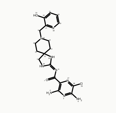 Nc1nc(N)c(C(=O)/N=C2\NCC3(CCN(Cc4ncccc4O)CC3)N2)nc1Cl